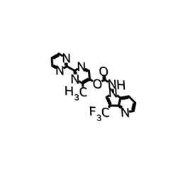 Cc1nc(-c2ncccn2)ncc1OC(=O)Nn1cc(C(F)(F)F)c2ncccc21